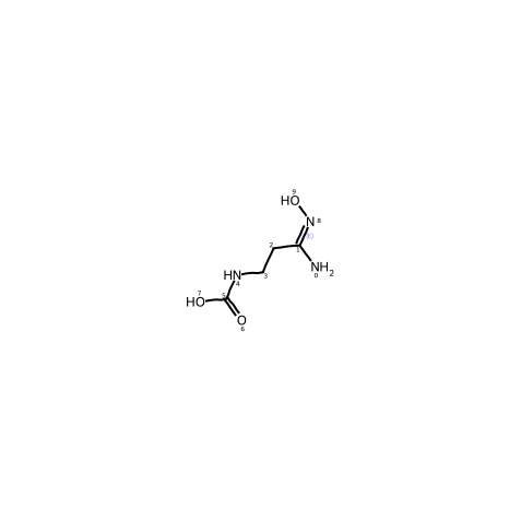 N/C(CCNC(=O)O)=N/O